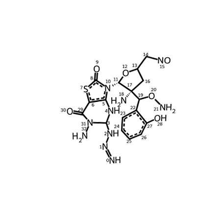 N=NNC1Nc2c(sc(=O)n2[C@@H]2OC(CN=O)C[C@@]2(N)C(ON)c2ccccc2O)C(=O)N1N